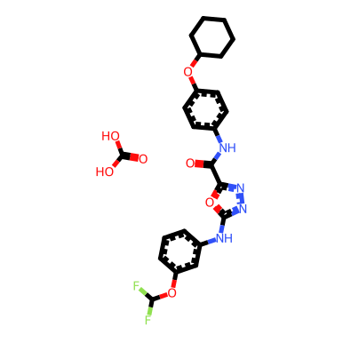 O=C(Nc1ccc(OC2CCCCC2)cc1)c1nnc(Nc2cccc(OC(F)F)c2)o1.O=C(O)O